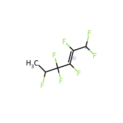 CC(F)C(F)(F)/C(F)=C(\F)[C](F)F